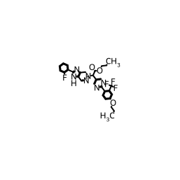 CCCOC(=O)C(c1cnc(-c2ccc(OCCC)cc2C(F)(F)F)nc1)N1Cc2nc(-c3ccccc3F)[nH]c2C=N1